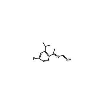 C/C(=N\C=N)c1ccc(F)cc1C(C)C